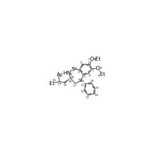 CCOc1cc2c(cc1OCC)[C@H](c1ccccc1)C[C@@H](CC(CC)C(C)=O)NS2